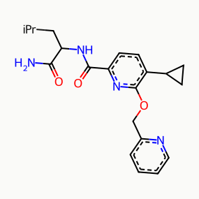 CC(C)CC(NC(=O)c1ccc(C2CC2)c(OCc2ccccn2)n1)C(N)=O